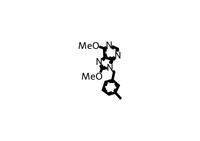 COc1ncnc2c1nc(OC)n2Cc1cccc(C)c1